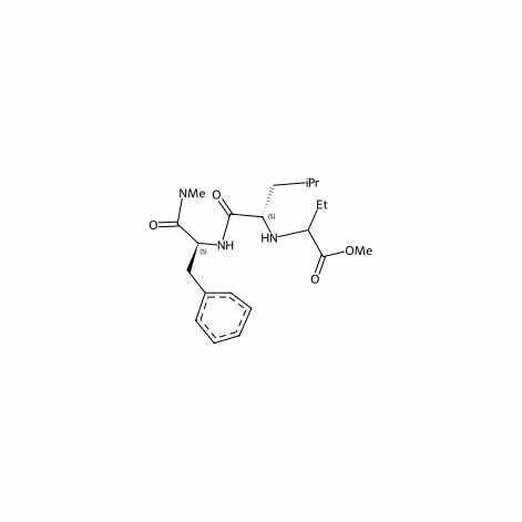 CCC(N[C@@H](CC(C)C)C(=O)N[C@@H](Cc1ccccc1)C(=O)NC)C(=O)OC